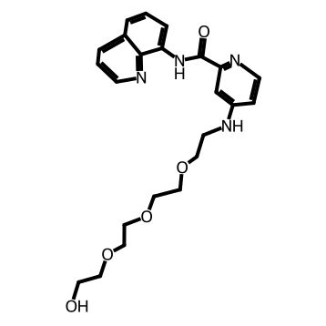 O=C(Nc1cccc2cccnc12)c1cc(NCCOCCOCCOCCO)ccn1